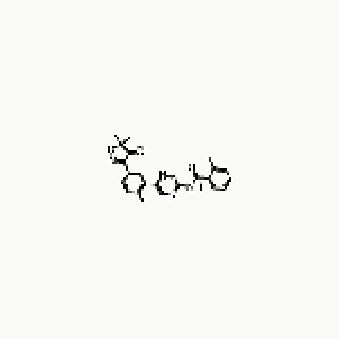 Cc1ccccc1C(=O)Nc1cnc(-c2cc(C3=NOC(C)(C)C3=O)ccc2C)cn1